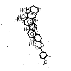 COc1ccc(C(=O)O[C@H]2CC[C@@]3(C)[C@@H]4CC[C@H]5[C@]6(O)C[C@H](O)[C@@]7(O)[C@@H](CN8C[C@@H](C)CC[C@H]8[C@@]7(C)O)[C@]6(O)C[C@@]53O[C@]24O)cc1C